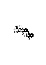 CC(O)C(=N)N1CCN(C(=O)c2cc(Cc3n[nH]c(=O)c4ccccc34)ccc2F)CC1=N